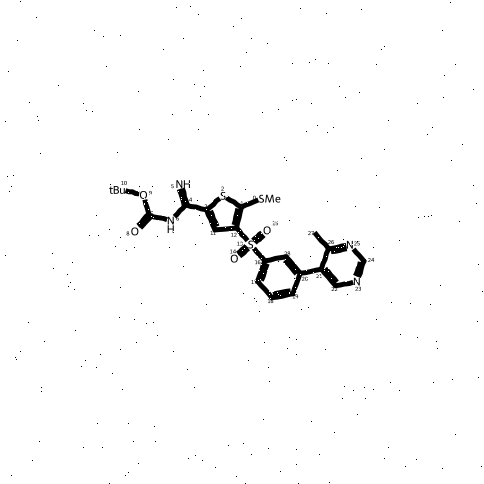 CSc1sc(C(=N)NC(=O)OC(C)(C)C)cc1S(=O)(=O)c1cccc(-c2cncnc2C)c1